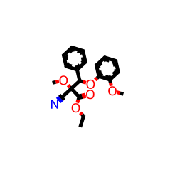 CCOC(=O)C(C#N)(OC)C(Oc1ccccc1OC)c1ccccc1